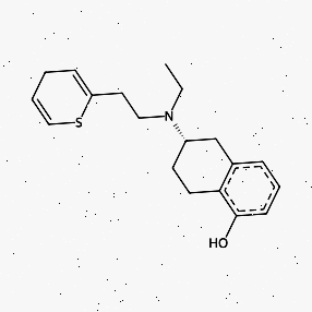 CCN(CCC1=CCC=CS1)[C@H]1CCc2c(O)cccc2C1